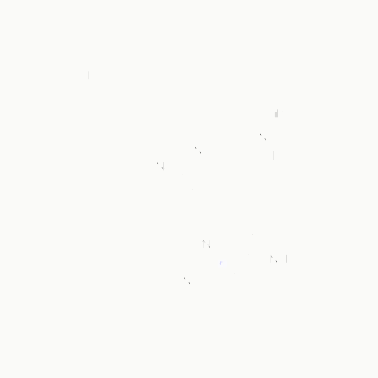 C=N/C(=C(\C)C(N)=O)N1CCC(c2nc(-c3ccc(F)c(C)c3)cn2CCN(CC)C(C)C)CC1